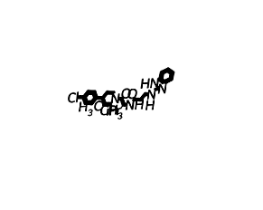 CC(C)[C@@H](NC(=O)CCNc1nc2ccccc2[nH]1)C(=O)N1CCC(c2ccc(Cl)cc2)C(C)(C)C1